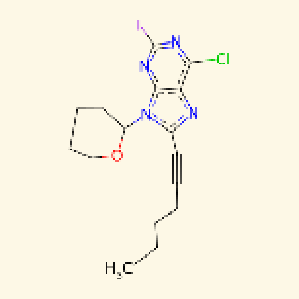 CCCCC#Cc1nc2c(Cl)nc(I)nc2n1C1CCCCO1